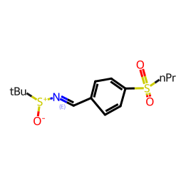 CCCS(=O)(=O)c1ccc(/C=N/[S+]([O-])C(C)(C)C)cc1